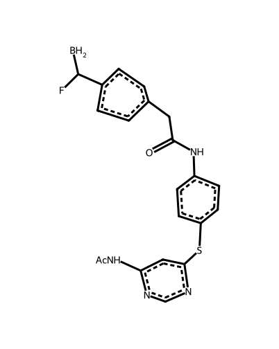 BC(F)c1ccc(CC(=O)Nc2ccc(Sc3cc(NC(C)=O)ncn3)cc2)cc1